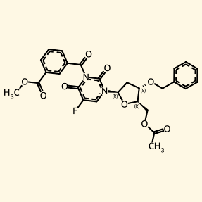 COC(=O)c1cccc(C(=O)n2c(=O)c(F)cn([C@H]3C[C@H](OCc4ccccc4)[C@@H](COC(C)=O)O3)c2=O)c1